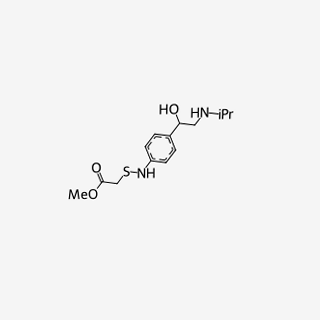 COC(=O)CSNc1ccc(C(O)CNC(C)C)cc1